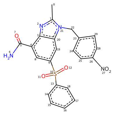 Cc1nc2c(C(N)=O)cc(S(=O)(=O)c3ccccc3)cc2n1Cc1ccc([N+](=O)[O-])cc1